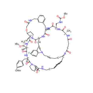 COc1ccc(C[C@@H]2NC(=O)[C@H]([C@@H](C)OC(C)(C)C)NC(=O)[C@@H]3C4CCN3C(=O)[C@@H]3Cc5cn(c6ccc(F)cc56)C/C=C/CCCN(Cc5ccc(cc5)CCNC(=O)[C@]5(C)CCCN5C2=O)C(=O)CCC(=O)N[C@@H](C)C(=O)N[C@H](CNC(=O)OC(C)(C)C)C(=O)N[C@@H](Cc2cccc(c2)CNC(=O)CO4)C(=O)N3)cc1